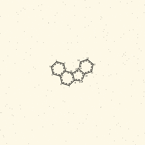 c1ccc2c(c1)ccc1sc3cccc[n+]3c12